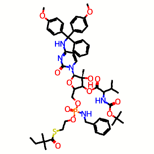 CCC(C)(C)C(=O)SCCOP(=O)(NCc1ccccc1)OCC1O[C@@H](n2ccc(NC(c3ccccc3)(c3ccc(OC)cc3)c3ccc(OC)cc3)nc2=O)[C@](C)(O)C1OC(=O)C(NC(=O)OC(C)(C)C)C(C)C